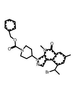 Cc1cc(C(C)Br)c2c(c1)c(=O)n(C)c1c2cnn1C1CCN(C(=O)OCc2ccccc2)CC1